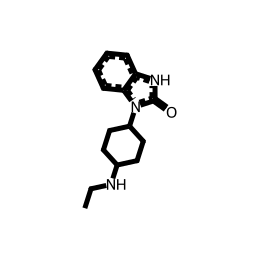 CCNC1CCC(n2c(=O)[nH]c3ccccc32)CC1